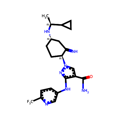 C[C@H](N[C@H]1CC[C@H](n2cc(C(N)=O)c(Nc3ccc(C(F)(F)F)nc3)n2)C(=N)C1)C1CC1